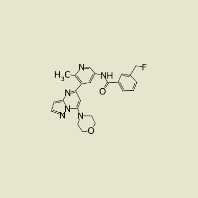 Cc1ncc(NC(=O)c2cccc(CF)c2)cc1-c1cc(N2CCOCC2)n2nccc2n1